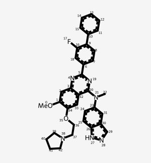 COc1cc2nc(-c3ccc(-c4ccccc4)c(F)c3)nc(N(C)c3ccc4[nH]ncc4c3)c2cc1OCCN1CCCC1